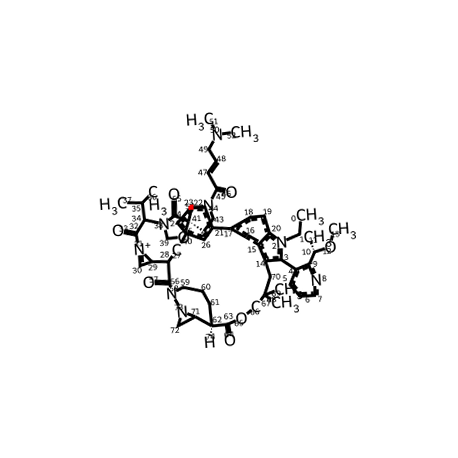 CCn1c(-c2cccnc2[C@H](C)OC)c2c3cc(ccc31)-c1cccc(c1)CC(C1C=[N+]1C(=O)C(C(C)C)N1CO[C@@]3(CCN(C(=O)/C=C/CN(C)C)C3)C1=O)C(=O)N1CCC[C@@H](C(=O)OCC(C)(C)C2)C2CN21